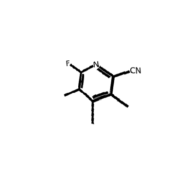 Cc1c(F)nc(C#N)c(C)c1C